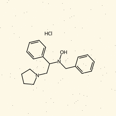 Cl.ON(Cc1ccccc1)C(CN1CCCC1)c1ccccc1